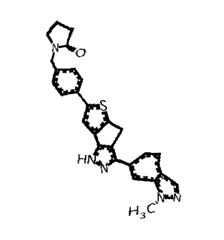 Cn1ncc2ccc(-c3n[nH]c4c3Cc3sc(-c5ccc(CN6CCCC6=O)cc5)cc3-4)cc21